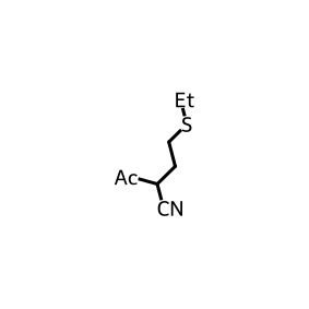 CCSCCC(C#N)C(C)=O